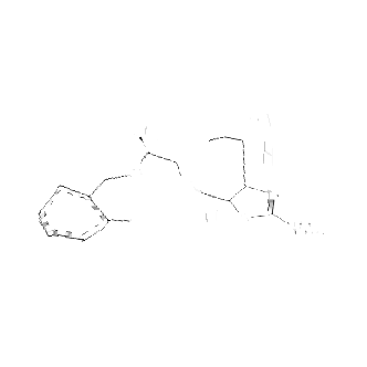 CNC1=N[C@H]2[C@H](O[C@H]([C@@H](OCc3ccccc3F)C(F)(F)F)C[C@@H]2O)S1